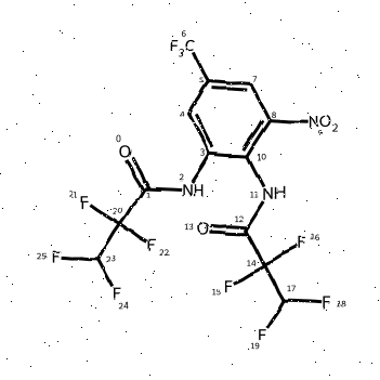 O=C(Nc1cc(C(F)(F)F)cc([N+](=O)[O-])c1NC(=O)C(F)(F)C(F)F)C(F)(F)C(F)F